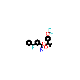 CC(C)C(C(=O)OC(C#N)c1cccc(C(F)c2ccccc2)c1)c1ccc(OC(F)F)cc1